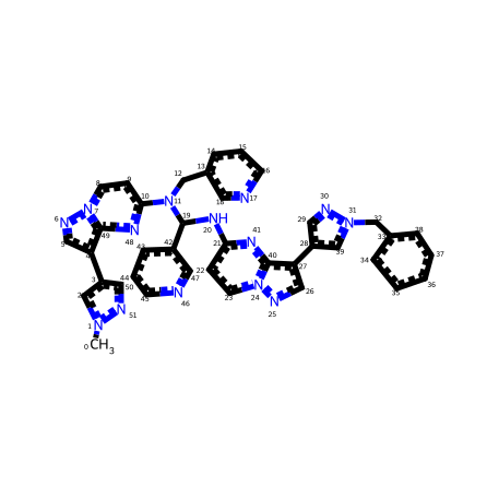 Cn1cc(-c2cnn3ccc(N(Cc4cccnc4)C(Nc4ccn5ncc(-c6cnn(Cc7ccccc7)c6)c5n4)c4cccnc4)nc23)cn1